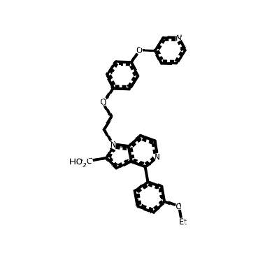 CCOc1cccc(-c2nccc3c2cc(C(=O)O)n3CCOc2ccc(Oc3cccnc3)cc2)c1